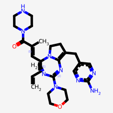 C=C/C=C(\C=C(/C)C(=O)N1CCNCC1)N1CCC(Cc2cnc(N)nc2)=C1/N=C(\N=C)N1CCOCC1